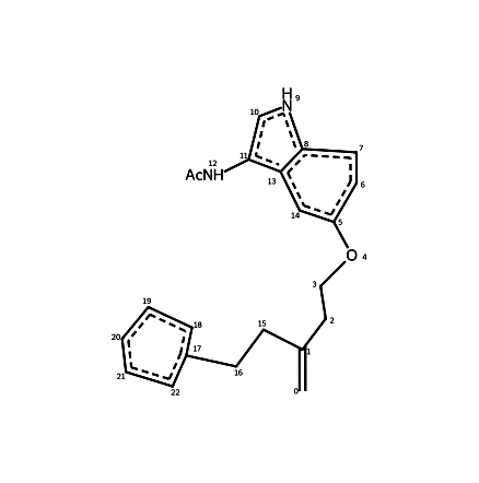 C=C(CCOc1ccc2[nH]cc(NC(C)=O)c2c1)CCc1ccccc1